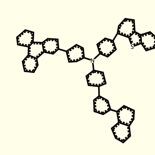 c1cc(-c2ccc(N(c3ccc(-c4ccc5c6ccccc6c6ccccc6c5c4)cc3)c3ccc(-c4cccc5c4sc4ccccc45)cc3)cc2)cc(-c2cccc3ccccc23)c1